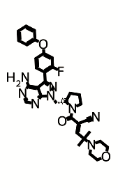 CC(C)(C=C(C#N)C(=O)N1CCC[C@H]1Cn1nc(-c2ccc(Oc3ccccc3)cc2F)c2c(N)ncnc21)N1CCOCC1